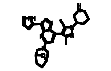 Cc1nn(C2CCCNC2)c(C)c1-c1cc(N2CC3CCC(C2)O3)nc2c(-c3ccn[nH]3)cnn12